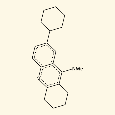 CNc1c2c(nc3ccc(C4CCCCC4)cc13)CCCC2